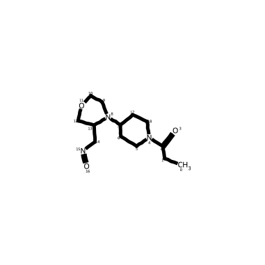 CCC(=O)N1CCC(N2CCOCC2CN=O)CC1